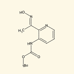 C/C(=N\O)c1ncccc1NC(=O)OC(C)(C)C